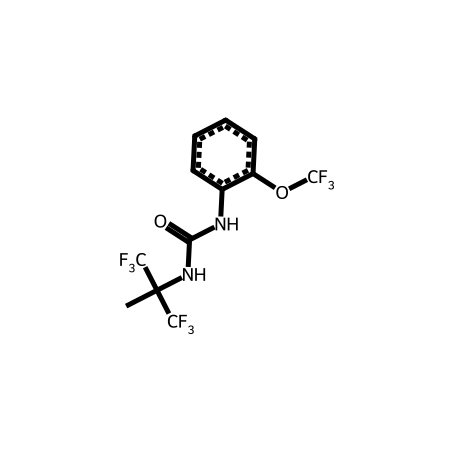 CC(NC(=O)Nc1ccccc1OC(F)(F)F)(C(F)(F)F)C(F)(F)F